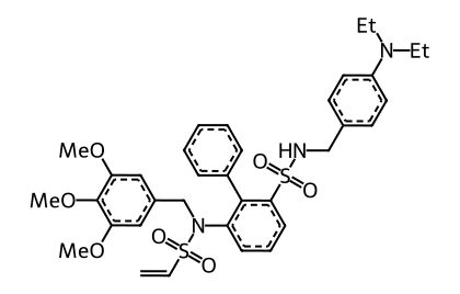 C=CS(=O)(=O)N(Cc1cc(OC)c(OC)c(OC)c1)c1cccc(S(=O)(=O)NCc2ccc(N(CC)CC)cc2)c1-c1ccccc1